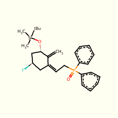 C=C1/C(=C\CP(=O)(c2ccccc2)c2ccccc2)C[C@@H](F)C[C@@H]1O[Si](C)(C)C(C)(C)C